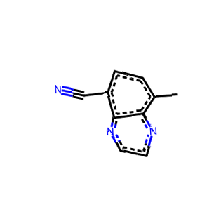 Cc1ccc(C#N)c2nccnc12